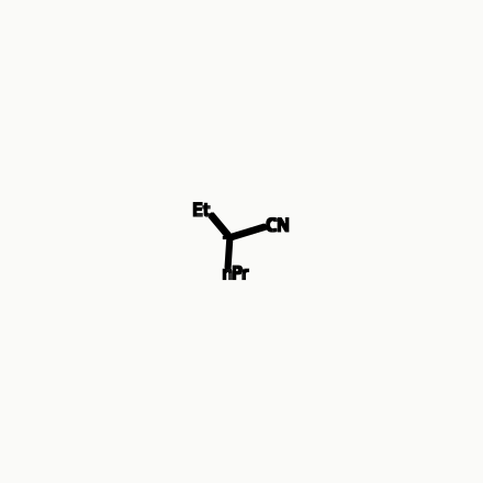 CCC[C](C#N)CC